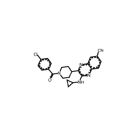 N#Cc1ccc2nc(NC3CC3)c(C3CCN(C(=O)c4ccc(Cl)cc4)CC3)nc2c1